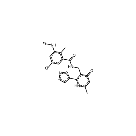 CCNc1cc(Cl)cc(C(=O)NCc2c(-c3ccns3)[nH]c(C)cc2=O)c1C